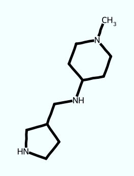 CN1CCC(NCC2CCNC2)CC1